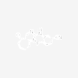 N#Cc1ccc(F)c(Nc2ncc3c(n2)CCCCC3=O)c1